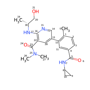 Cc1ccc(C(=O)NC2CC2)cc1-c1cnc(N[C@H](C)CO)c(C(=O)N(C)C)c1